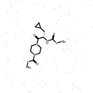 CCCCOC(=O)N1CCN(C(=O)[C@H](CC2CC2)NC(=O)OC(C)(C)C)CC1